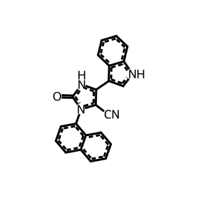 N#Cc1c(-c2c[nH]c3ccccc23)[nH]c(=O)n1-c1cccc2ccccc12